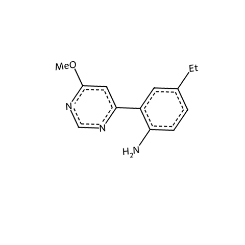 CCc1ccc(N)c(-c2cc(OC)ncn2)c1